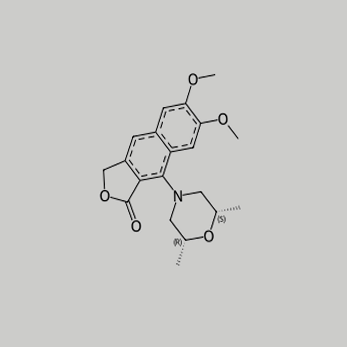 COc1cc2cc3c(c(N4C[C@@H](C)O[C@@H](C)C4)c2cc1OC)C(=O)OC3